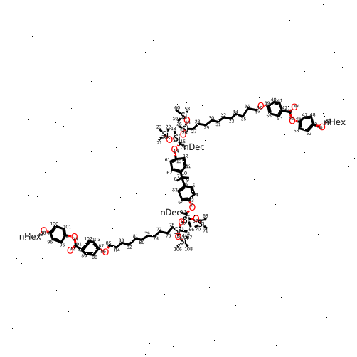 CCCCCCCCCCC(Oc1ccc(C(C)(C)c2ccc(OC(CCCCCCCCCC)[Si](C)(O[Si](C)(C)C)O[Si](C)(CCCCCCCCCCCOc3ccc(C(=O)Oc4ccc(OCCCCCC)cc4)cc3)O[Si](C)(C)C)cc2)cc1)[Si](C)(O[Si](C)(C)C)O[Si](C)(CCCCCCCCCCCOc1ccc(C(=O)Oc2ccc(OCCCCCC)cc2)cc1)O[Si](C)(C)C